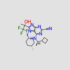 C[C@@H](Nc1nc(C#N)nc2nc(C(C)(O)C(F)(F)F)n(C[C@H]3CC[C@H](C)CC3)c12)C1CCC1